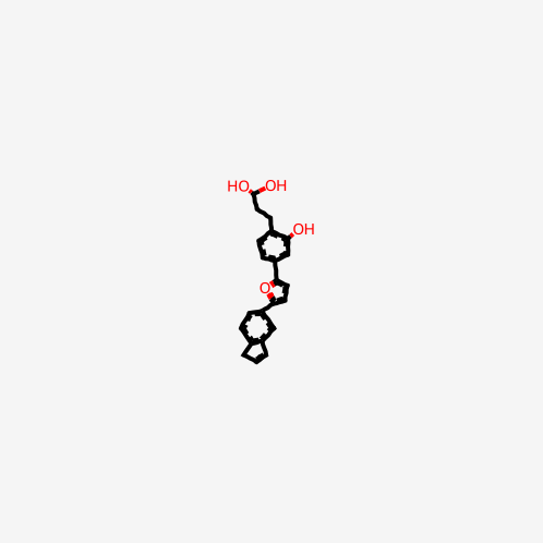 Oc1cc(-c2ccc(-c3ccc4c(c3)C=CC4)o2)ccc1CCC(O)O